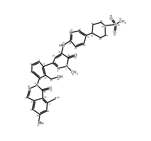 Cn1nc(-c2cccc(-n3ncc4cc(C(C)(C)C)cc(F)c4c3=O)c2CO)cc(Nc2ccc(C3CCN(S(C)(=O)=O)CC3)cn2)c1=O